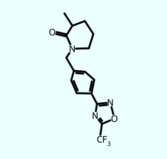 CC1CCCN(Cc2ccc(-c3noc(C(F)(F)F)n3)cc2)C1=O